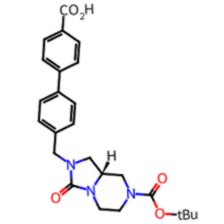 CC(C)(C)OC(=O)N1CCN2C(=O)N(Cc3ccc(-c4ccc(C(=O)O)cc4)cc3)C[C@@H]2C1